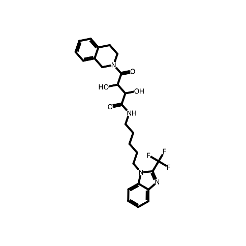 O=C(NCCCCCn1c(C(F)(F)F)nc2ccccc21)C(O)C(O)C(=O)N1CCc2ccccc2C1